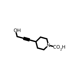 O=C(O)N1CCC(C#CCO)CC1